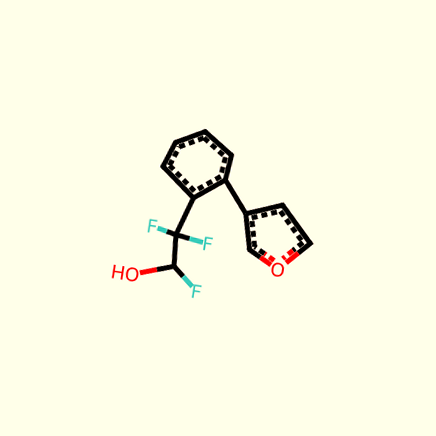 OC(F)C(F)(F)c1ccccc1-c1ccoc1